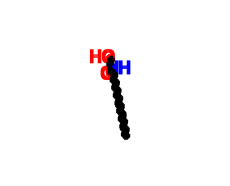 CCC=CCC=CCC=CCCCCCCCC(=O)NCCO